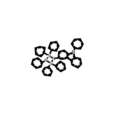 c1ccc(N2[Si](c3ccccc3)(c3ccccc3)N(c3ccc4c(c3)c3ccccc3n4-c3ccccc3)[Si]2(c2ccccc2)c2ccccc2)cc1